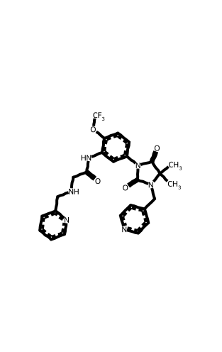 CC1(C)C(=O)N(c2ccc(OC(F)(F)F)c(NC(=O)CNCc3ccccn3)c2)C(=O)N1Cc1ccncc1